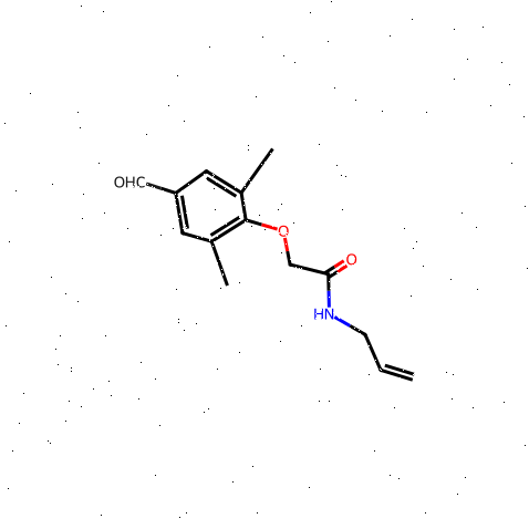 C=CCNC(=O)COc1c(C)cc(C=O)cc1C